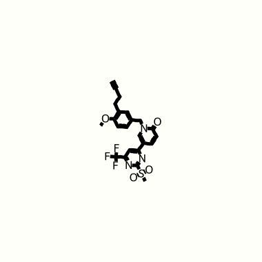 C#CCCc1cc(Cn2cc(-c3cc(C(F)(F)F)nc(S(C)(=O)=O)n3)ccc2=O)ccc1OC